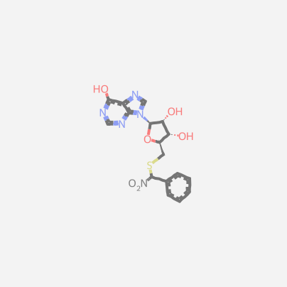 O=[N+]([O-])C(SC[C@H]1O[C@@H](n2cnc3c(O)ncnc32)[C@H](O)[C@@H]1O)c1ccccc1